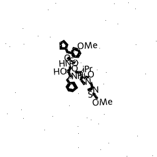 COCc1nc(CN2CCN([C@H](C(=O)N[C@@H](Cc3ccccc3)[C@H](O)CNS(=O)(=O)c3ccc(OC)cc3CC3CCCC3)C(C)C)C2=O)cs1